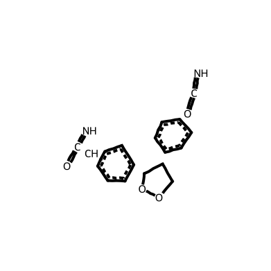 C.C1COOC1.N=C=O.N=C=O.c1ccccc1.c1ccccc1